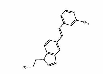 Cc1cc(/C=C/c2ccc3c(ccn3CCO)c2)ncn1